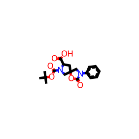 CC(C)(C)OC(=O)N1CC2(CC1C(=O)O)CN(c1ccccc1)C(=O)O2